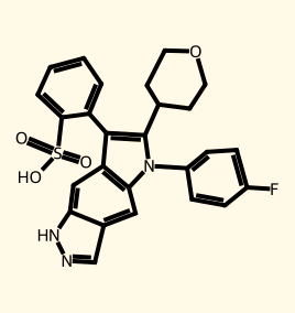 O=S(=O)(O)c1ccccc1-c1c(C2CCOCC2)n(-c2ccc(F)cc2)c2cc3cn[nH]c3cc12